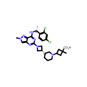 C[C@@H](Nc1nc(N2CC([C@H]3CCCN(C4CC(C)(C(=O)O)C4)C3)C2)nc2cn(C)nc12)c1ccc(Cl)cc1Cl